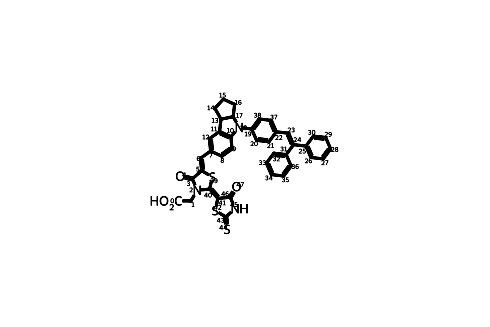 O=C(O)Cn1c(=O)/c(=C/c2ccc3c(c2)C2CCCC2N3c2ccc(C=C(c3ccccc3)c3ccccc3)cc2)s/c1=C1/SC(=S)NC1=O